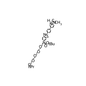 CCCOCCOCCOCCOCCOCCN(C(=O)OC(C)(C)C)c1ccc2nc(-c3ccc(-c4ccc(N(C)C)nc4)cc3)sc2c1